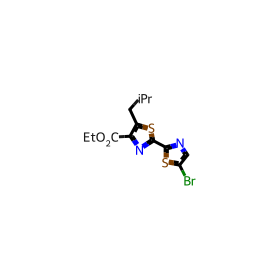 CCOC(=O)c1nc(-c2ncc(Br)s2)sc1CC(C)C